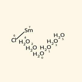 O.O.O.O.O.O.[Cl][Sm]